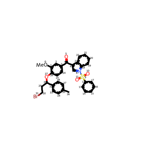 COc1cc(C(=O)c2cn(S(=O)(=O)c3ccccc3)c3ccccc23)ccc1OC(CCBr)c1ccc(C)cc1